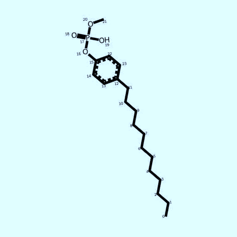 CCCCCCCCCCCCc1ccc(OP(=O)(O)OC)cc1